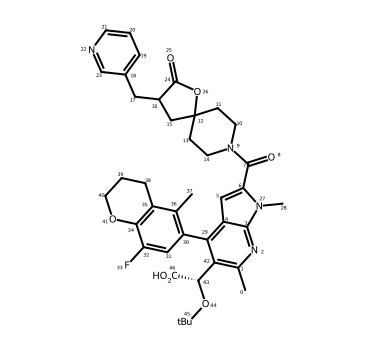 Cc1nc2c(cc(C(=O)N3CCC4(CC3)CC(Cc3cccnc3)C(=O)O4)n2C)c(-c2cc(F)c3c(c2C)CCCO3)c1[C@H](OC(C)(C)C)C(=O)O